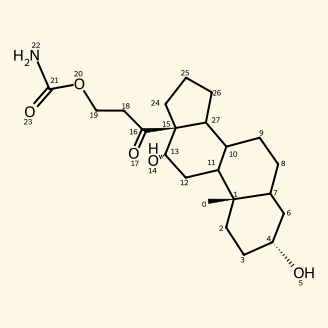 C[C@]12CC[C@@H](O)CC1CCC1C2C[C@H](O)[C@]2(C(=O)CCOC(N)=O)CCCC12